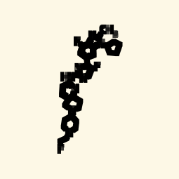 Cc1nc2c(F)cc(-c3nc(Nc4ccc5c(n4)CCN(C4CCN(CCF)CC4)C5)ncc3F)cc2n1C1CCCC1